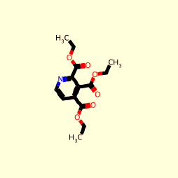 CCOC(=O)c1ccnc(C(=O)OCC)c1C(=O)OCC